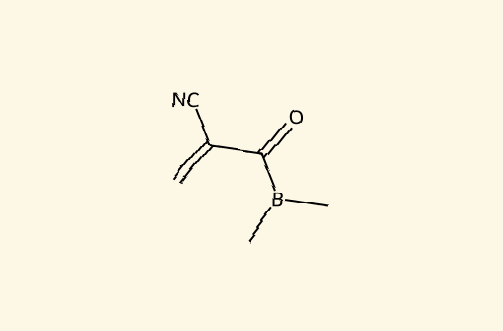 C=C(C#N)C(=O)B(C)C